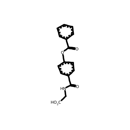 O=C(O)CNC(=O)c1ccc(OC(=O)c2ccccc2)cc1